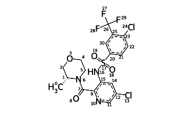 C[C@@H]1COCCN1C(=O)c1ncc(Cl)cc1NS(=O)(=O)c1ccc(Cl)c(C(F)(F)F)c1